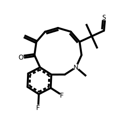 C=C1/C=C\C=C(\C(C)(C)C=S)CN(C)Cc2c(ccc(F)c2F)C1=O